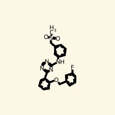 CS(=O)(=O)Cc1cccc(Nc2ncnc(-c3ccccc3OCc3cccc(F)c3)n2)c1